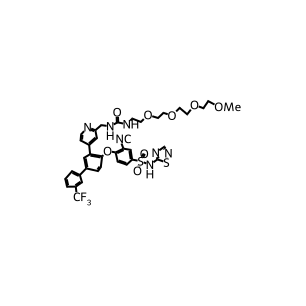 COCCOCCOCCOCCNC(=O)NCc1cc(-c2cc(-c3cccc(C(F)(F)F)c3)ccc2Oc2ccc(S(=O)(=O)Nc3ncns3)cc2C#N)ccn1